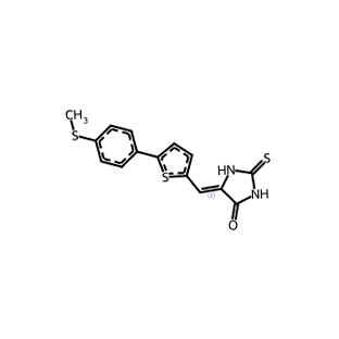 CSc1ccc(-c2ccc(/C=C3\NC(=S)NC3=O)s2)cc1